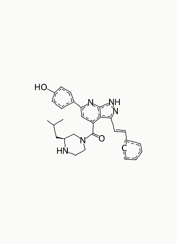 CC(C)C[C@H]1CN(C(=O)c2cc(-c3ccc(O)cc3)nc3[nH]nc(C=Cc4ccccc4)c23)CCN1